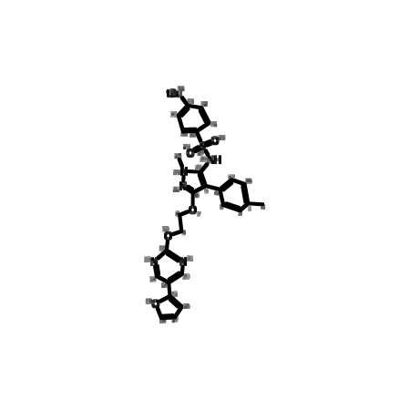 Cc1ccc(-c2c(OCCOc3ncc(-c4ccco4)cn3)nn(C)c2NS(=O)(=O)c2ccc(C(C)(C)C)cc2)cc1